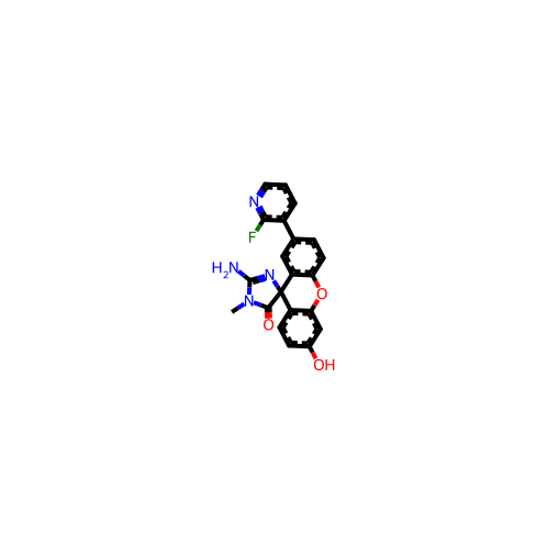 CN1C(=O)C2(N=C1N)c1ccc(O)cc1Oc1ccc(-c3cccnc3F)cc12